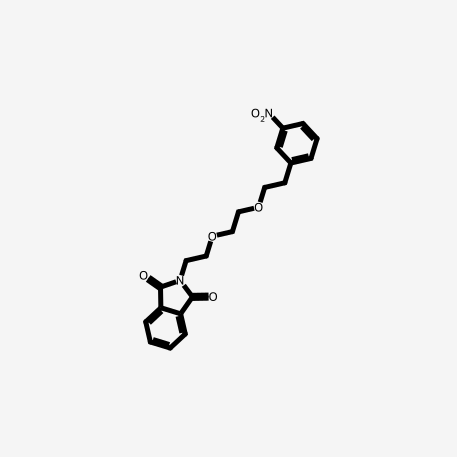 O=C1c2ccccc2C(=O)N1CCOCCOCCc1cccc([N+](=O)[O-])c1